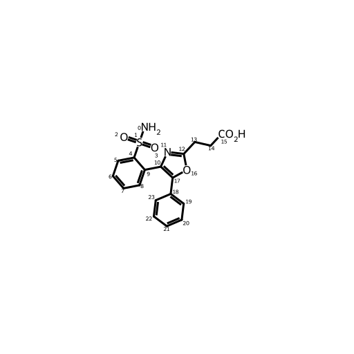 NS(=O)(=O)c1ccccc1-c1nc(CCC(=O)O)oc1-c1ccccc1